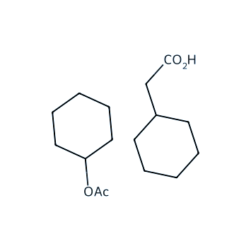 CC(=O)OC1CCCCC1.O=C(O)CC1CCCCC1